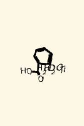 O.O.O=C(O)c1ccccc1.[Ti]